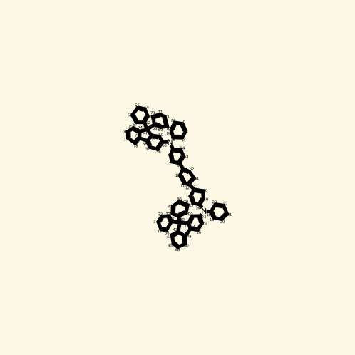 c1ccc(N(c2ccc(-c3ccc(-c4ccc(N(c5ccccc5)c5ccc6c(c5)C(c5ccccc5)(c5ccccc5)c5ccccc5-6)cc4)cc3)cc2)c2ccc3c(c2)C(c2ccccc2)(c2ccccc2)c2ccccc2-3)cc1